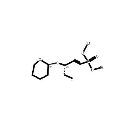 CCOP(=O)(C=C[C@H](CI)O[C@H]1CCCCO1)OCC